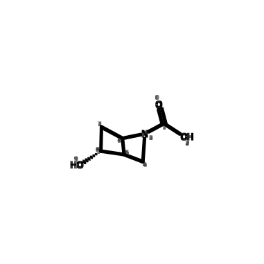 O=C(O)N1CC2C1C[C@H]2O